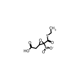 CCSC(=O)C1([N+](=O)[O-])OC1CC(=O)O